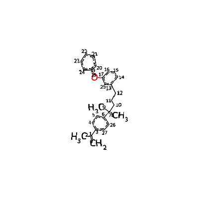 C=C(C)c1ccc(C(C)(C)CCCc2cccc(Oc3ccccc3)c2)cc1